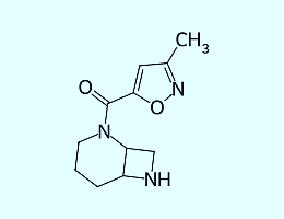 Cc1cc(C(=O)N2CCCC3NCC32)on1